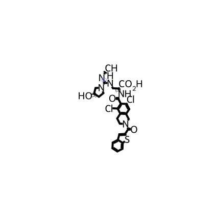 C#C/N=C(\NC[C@H](NC(=O)c1c(Cl)cc2c(c1Cl)CCN(C(=O)c1cc3ccccc3s1)C2)C(=O)O)N1CC[C@H](O)C1